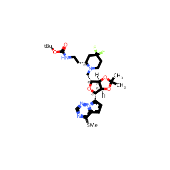 CSc1ncnn2c([C@@H]3O[C@H](CN4CCC(F)(F)C[C@H]4CCNC(=O)OC(C)(C)C)[C@H]4OC(C)(C)O[C@H]43)ccc12